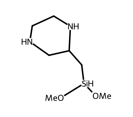 CO[SiH](CC1CNCCN1)OC